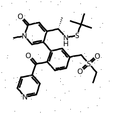 CCS(=O)(=O)Cc1ccc(C(=O)c2ccncc2)c(-c2cn(C)c(=O)cc2[C@H](C)NSC(C)(C)C)c1